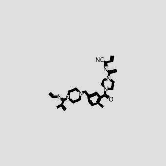 C=C/N=C(\C(=C)C)N1CCN(Cc2ccc(C)c(C(=O)N3CCN(C(=C)/N=C(/C#N)C=C)CC3)c2)CC1